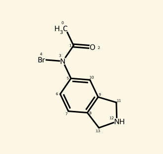 CC(=O)N(Br)c1ccc2c(c1)CNC2